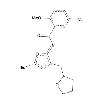 COc1ccc(Cl)cc1C(=O)/N=c1\oc(C(C)(C)C)cn1CC1CCCO1